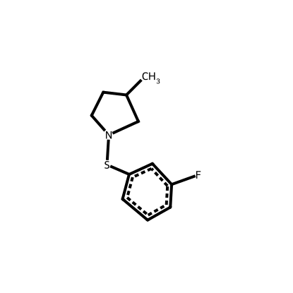 CC1CCN(Sc2cccc(F)c2)C1